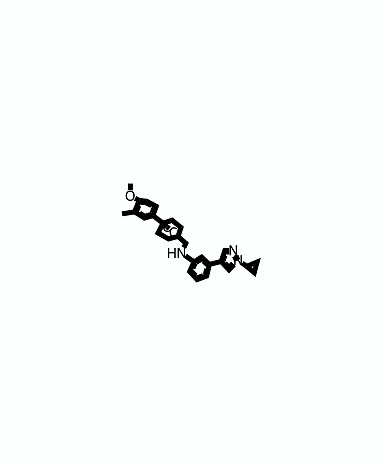 COc1ccc(C23CCC(CNc4cccc(-c5cnn(C6CC6)c5)c4)(CC2)CC3)cc1C